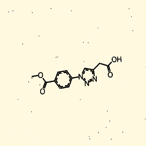 COC(=O)c1ccc(-n2cc(CC(=O)O)nn2)cc1